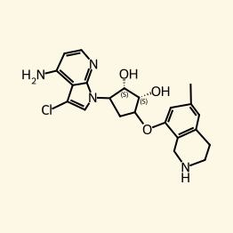 Cc1cc2c(c(OC3CC(n4cc(Cl)c5c(N)ccnc54)[C@H](O)[C@@H]3O)c1)CNCC2